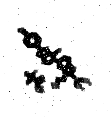 CN(C)c1nc2ccc(-n3cnc4cc(-c5ccc(Cl)cc5)sc4c3=O)cc2n1CCO.O=C(O)C(F)(F)F